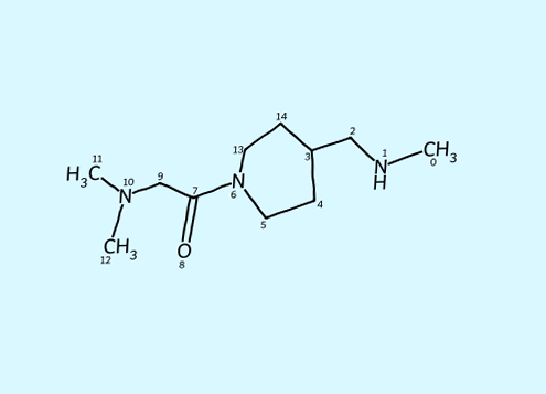 CNCC1CCN(C(=O)CN(C)C)CC1